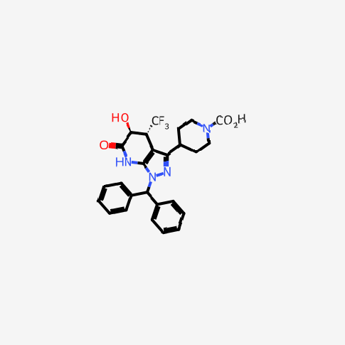 O=C1Nc2c(c(C3CCN(C(=O)O)CC3)nn2C(c2ccccc2)c2ccccc2)[C@@H](C(F)(F)F)[C@@H]1O